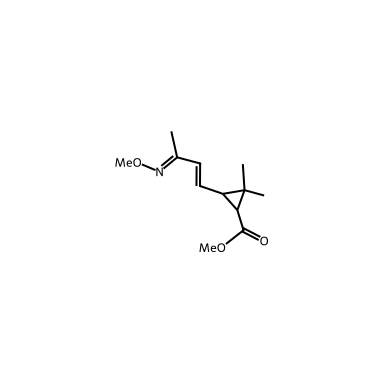 CON=C(C)C=CC1C(C(=O)OC)C1(C)C